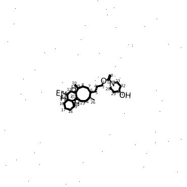 C=C(OCCCC1CCC(C)[C@@H]2C[C@H](CC)[C@@H]3CCCC[C@]3(C)[C@H]2CC[C@@H]1C)N1CCC(O)CC1